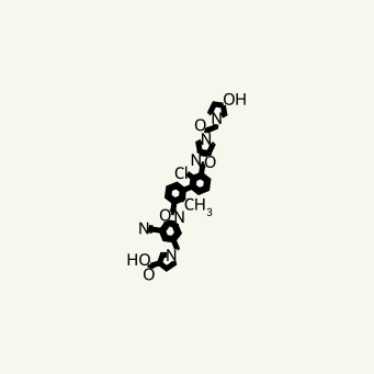 Cc1c(-c2nc3cc(CN4CCC(C(=O)O)C4)cc(C#N)c3o2)cccc1-c1cccc(-c2nc3c(o2)CN(C(=O)CN2CCC(O)C2)C3)c1Cl